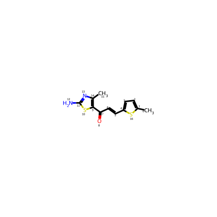 Cc1ccc(/C=C/C(=O)c2sc(N)nc2C)s1